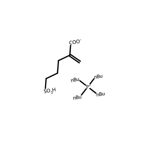 C=C(CCCS(=O)(=O)O)C(=O)[O-].CCCC[P+](CCCC)(CCCC)CCCC